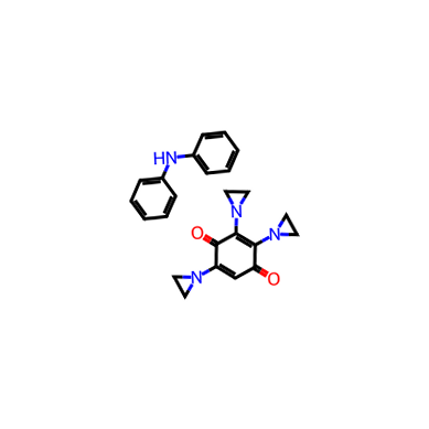 O=C1C=C(N2CC2)C(=O)C(N2CC2)=C1N1CC1.c1ccc(Nc2ccccc2)cc1